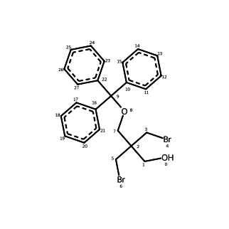 OCC(CBr)(CBr)COC(c1ccccc1)(c1ccccc1)c1ccccc1